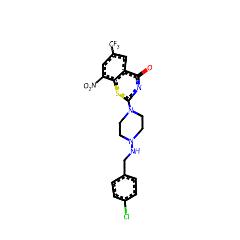 O=c1nc(N2CCN(NCc3ccc(Cl)cc3)CC2)sc2c([N+](=O)[O-])cc(C(F)(F)F)cc12